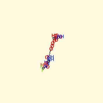 O=C1CCC(N2C(=O)c3cccc(OCCOCCOCCOCCCCCCCCNC(=O)c4cc5cc(N6CCC(O)(C(=O)NCc7cc(F)cc(F)c7)C6=O)ccc5[nH]4)c3C2=O)C(O)N1